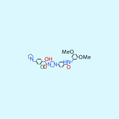 COc1cc(CNC(=O)c2ccc(N3CCN(C(=O)C(O)c4ccc(CN5CCCC5)cc4Cl)CC3)cc2)cc(OC)c1